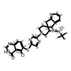 CC(C)(C)[S+]([O-])N[C@@H]1c2cccnc2CC12CCN(c1cnc(Sc3ccc4nc[nH]c(=O)c4c3Cl)cn1)CC2